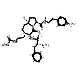 CNC(=S)NCC[C@H]1CC[C@H]2CC[C@@H](C(=O)NCCc3ccc(OC)cc3)N2C(=O)[C@H]1NC(=O)[C@@H](Cc1ccccc1)NC